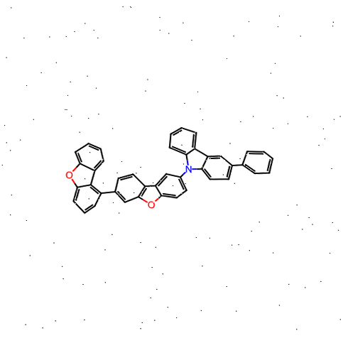 c1ccc(-c2ccc3c(c2)c2ccccc2n3-c2ccc3oc4cc(-c5cccc6oc7ccccc7c56)ccc4c3c2)cc1